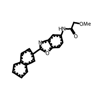 COCC(=O)Nc1ccc2oc(-c3ccc4ccccc4c3)nc2c1